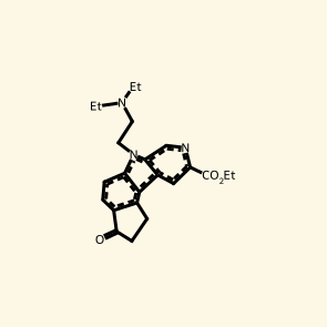 CCOC(=O)c1cc2c3c4c(ccc3n(CCN(CC)CC)c2cn1)C(=O)CC4